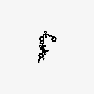 N#Cc1ccc(OP(=O)([O-])CNS(=O)(=O)c2cc3cc(CS(=O)(=O)CCC[n+]4ccccc4)ccc3s2)cc1F